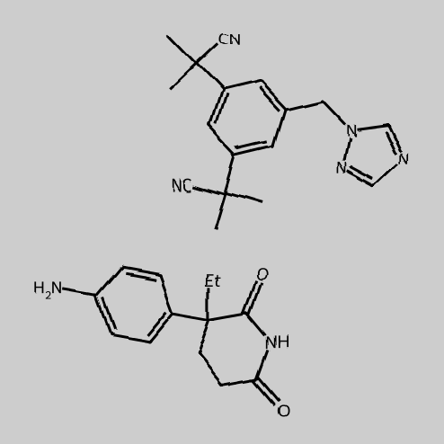 CC(C)(C#N)c1cc(Cn2cncn2)cc(C(C)(C)C#N)c1.CCC1(c2ccc(N)cc2)CCC(=O)NC1=O